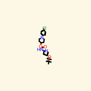 CC(C)(C)[Si](C)(C)Oc1ccc(NC(=O)OC2CCN(c3ccc(Cl)cc3)CC2)nc1